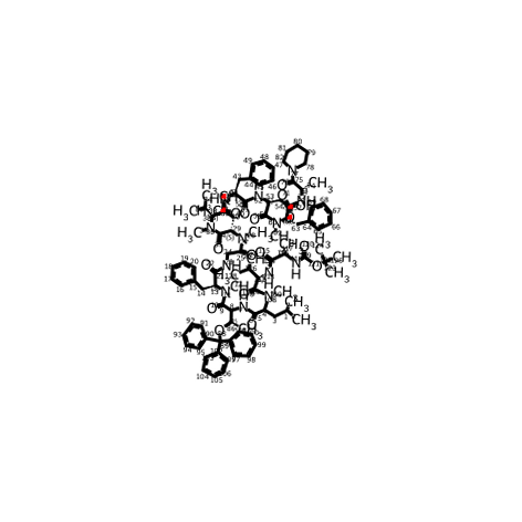 CC(C)CC(C(=O)NC(C(=O)N(C)[C@@H](Cc1ccccc1)C(=O)NCC(=O)N(C)[C@@H](CC(C)C)C(=O)N(C)[C@H](C(=O)N[C@@H](Cc1ccccc1)C(=O)N[C@@H](CC(=O)O)C(=O)N(C)[C@@H](Cc1ccccc1)C(=O)N[C@@H](C)C(=O)N1CCCCC1)C(C)C)[C@@H](C)OC(c1ccccc1)(c1ccccc1)c1ccccc1)N(C)C(=O)[C@@H](NC(=O)[C@H](C)NC(=O)OC(C)(C)C)C(C)C